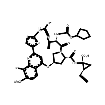 C=C[C@@H]1C[C@]1(NC(=O)[C@@H]1C[C@@H](Oc2cc(-c3csc(NC(=O)CCC)n3)nc3c(Br)c(OC)ccc23)CN1C(=O)[C@@H](NC(=O)OC1CCCC1)C(=C)C)C(=O)O